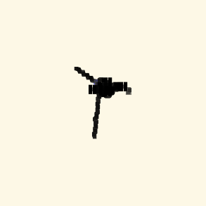 CCCCCCCCC/C=C/[C@@H](O)[C@H](COP(=O)(O)OCCN)NC(=O)CCCCCCCCCCCCCCCCCC